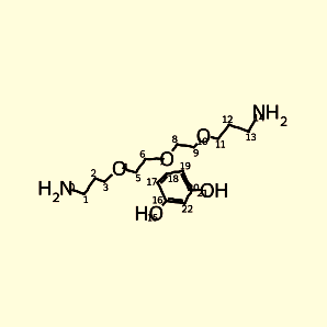 NCCCOCCOCCOCCCN.Oc1cccc(O)c1